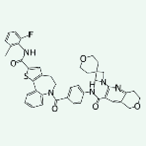 Cc1cccc(F)c1NC(=O)c1cc2c(s1)-c1ccccc1N(C(=O)c1ccc(NC(=O)c3cc4c(nc3N3CC5(CCOCC5)C3)CCOC4)cc1)CC2